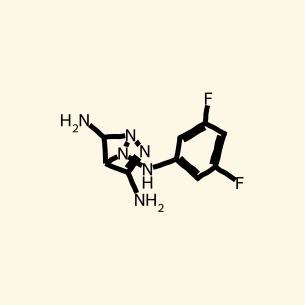 NC1=NN2C(N)C1N2Nc1cc(F)cc(F)c1